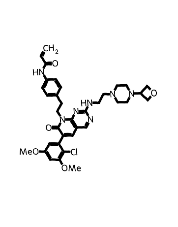 C=CC(=O)Nc1ccc(CCn2c(=O)c(-c3cc(OC)cc(OC)c3Cl)cc3cnc(NCCN4CCN(C5COC5)CC4)nc32)cc1